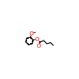 CCC[CH]C(=O)Oc1ccccc1OC